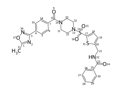 Cc1nc(-c2ccc(C(=O)N3CCN(S(=O)(=O)c4ccc(CNC(=O)c5ccccc5)s4)CC3)cc2)no1